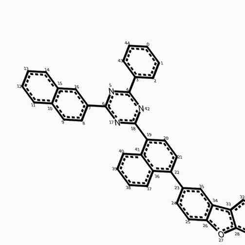 c1ccc(-c2nc(-c3ccc4ccccc4c3)nc(-c3ccc(-c4ccc5oc6ccccc6c5c4)c4ccccc34)n2)cc1